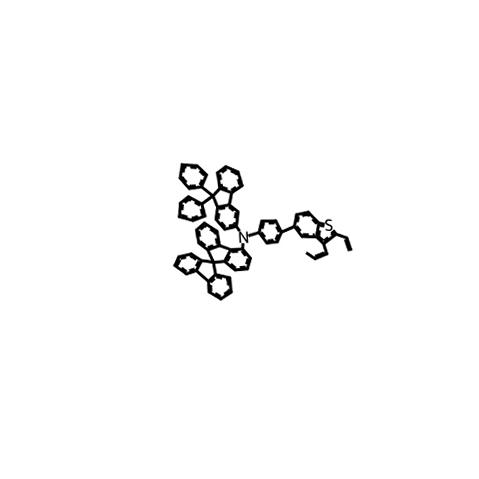 C=Cc1sc2ccc(-c3ccc(N(c4ccc5c(c4)-c4ccccc4C5(c4ccccc4)c4ccccc4)c4cccc5c4-c4ccccc4C54c5ccccc5-c5ccccc54)cc3)cc2c1/C=C\C